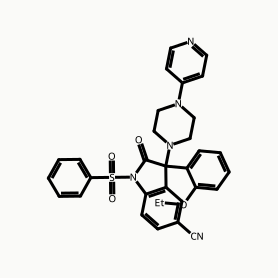 CCOc1ccccc1C1(N2CCN(c3ccncc3)CC2)C(=O)N(S(=O)(=O)c2ccccc2)c2ccc(C#N)cc21